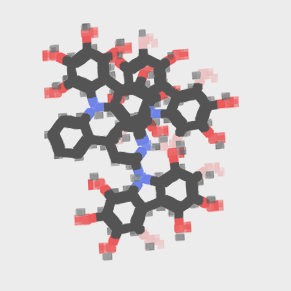 Bc1c(O)c(O)c2c(c1O)c1c(B)c(O)c(O)c(B)c1n2-c1cc(-c2ccccc2-n2c3c(B)c(O)c(O)c(O)c3c3c(O)c(O)c(O)c(O)c32)cc(-n2c3c(O)c(O)c(O)c(B)c3c3c(O)c(O)c(B)c(O)c32)n1